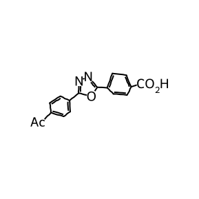 CC(=O)c1ccc(-c2nnc(-c3ccc(C(=O)O)cc3)o2)cc1